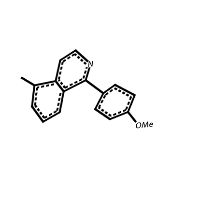 COc1ccc(-c2nccc3c(C)cccc23)cc1